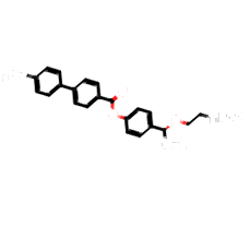 CCCCCCCCCCCCOC(C)c1ccc(OC(=O)c2ccc(-c3ccc(CCC)cc3)cc2)cc1